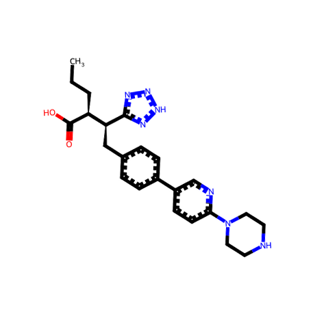 CCC[C@H](C(=O)O)[C@H](Cc1ccc(-c2ccc(N3CCNCC3)nc2)cc1)c1nn[nH]n1